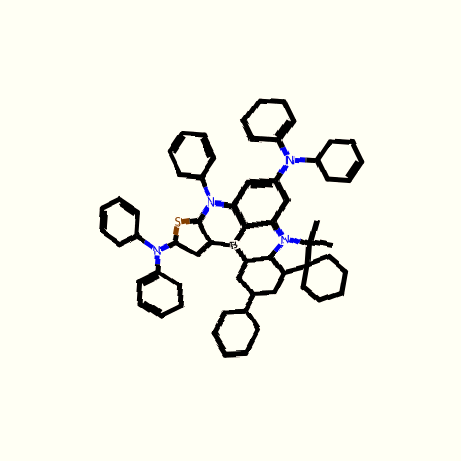 CC1(C)N2C3CC(N(C4=CCCCC4)C4CC=CCC4)=CC4C3B(C3CC(N(C5=CC=CCC5)C5C=CC=CC5)SC3N4C3C=CC=CC3)C3CC(C4CCCCC4)CC(C32)C12CCCCC2